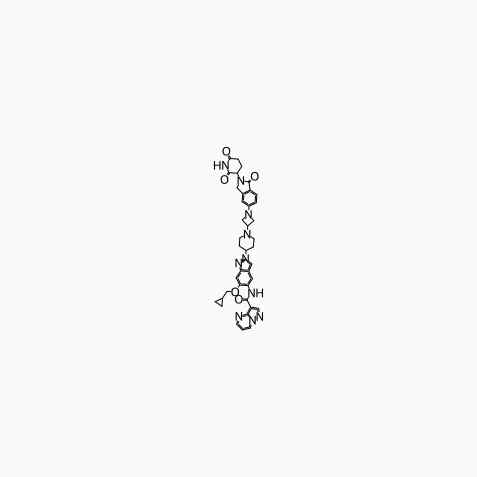 O=C1CCC(N2Cc3cc(N4CC(N5CCC(n6cc7cc(NC(=O)c8cnn9cccnc89)c(OCC8CC8)cc7n6)CC5)C4)ccc3C2=O)C(=O)N1